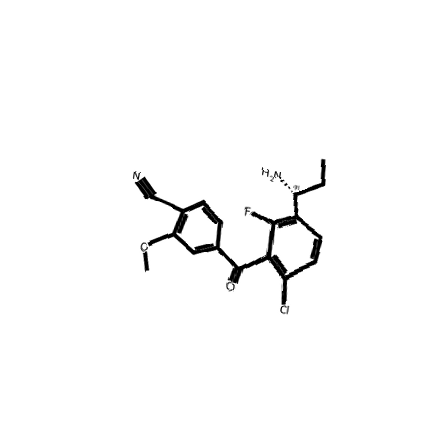 CC[C@@H](N)c1ccc(Cl)c(C(=O)c2ccc(C#N)c(OC)c2)c1F